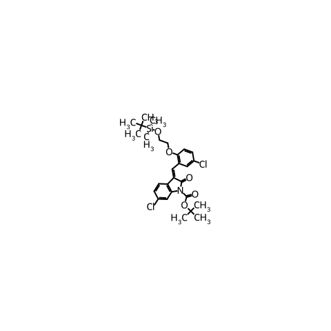 CC(C)(C)OC(=O)N1C(=O)C(=Cc2cc(Cl)ccc2OCCO[Si](C)(C)C(C)(C)C)c2ccc(Cl)cc21